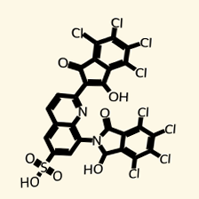 O=C1C(c2ccc3cc(S(=O)(=O)O)cc(N4C(=O)c5c(Cl)c(Cl)c(Cl)c(Cl)c5C4O)c3n2)=C(O)c2c(Cl)c(Cl)c(Cl)c(Cl)c21